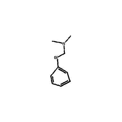 CN(C)[CH2][Bi][c]1ccccc1